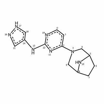 c1cc(N2CC3CCC(C2)N3)nc(Nc2cn[nH]c2)n1